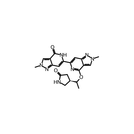 CC(Oc1nc(-c2cc3nn(C)cc3c(=O)[nH]2)cc2nn(C)cc12)[C@H]1CNC(=O)C1